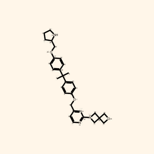 CC(C)(c1ccc(OCc2ccnc(N3CC4(COC4)C3)n2)cc1)c1ccc(OCC2CCCN2)cc1